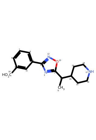 CC(c1nc(-c2cccc(C(=O)O)c2)no1)C1CCNCC1